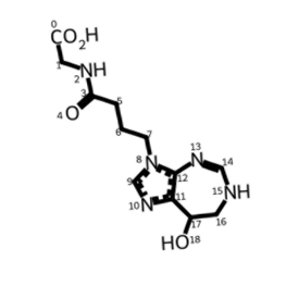 O=C(O)CNC(=O)CCCn1cnc2c1N=CNCC2O